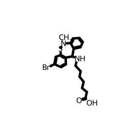 CN1Sc2cc(Br)ccc2C(NCCCCCCC(=O)O)c2ccccc21